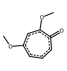 COc1cccc(=O)c(OC)c1